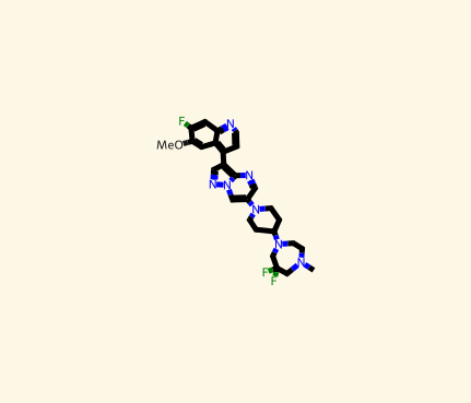 COc1cc2c(-c3cnn4cc(N5CCC(N6CCN(C)CC(F)(F)C6)CC5)cnc34)ccnc2cc1F